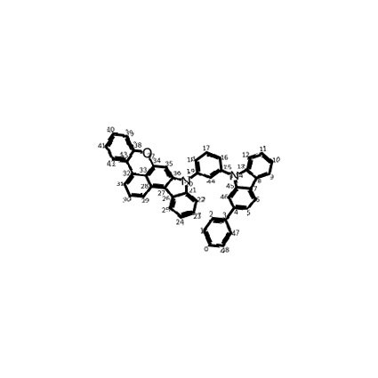 c1ccc(-c2ccc3c4ccccc4n(-c4cccc(-n5c6ccccc6c6c7cccc8c7c(cc65)Oc5ccccc5-8)c4)c3c2)cc1